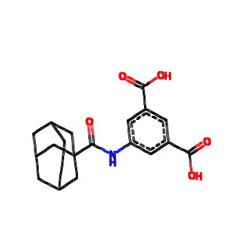 O=C(O)c1cc(NC(=O)C23CC4CC(CC(C4)C2)C3)cc(C(=O)O)c1